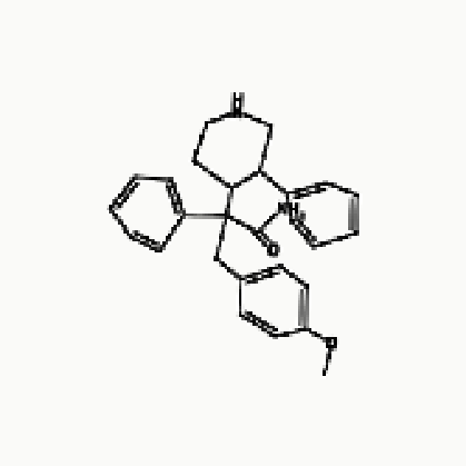 COc1ccc(CC(C(N)=O)(c2ccccc2)C2CCNCC2c2ccccc2)cc1